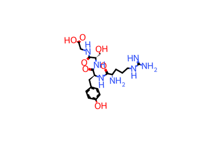 N=C(N)NCCC[C@H](N)C(=O)N[C@@H](Cc1ccc(O)cc1)C(=O)N[C@@H](CO)C(=O)NCC(=O)O